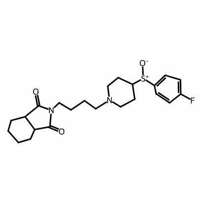 O=C1C2CCCCC2C(=O)N1CCCCN1CCC([S+]([O-])c2ccc(F)cc2)CC1